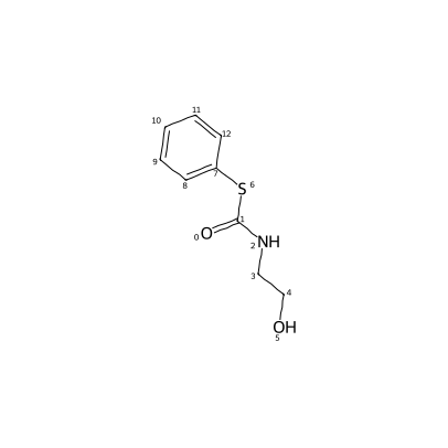 O=C(NCCO)Sc1ccccc1